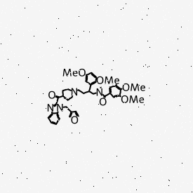 COc1cccc(C(CCN2CCC(C(=O)c3nc4ccccc4n3Cc3ccoc3)CC2)CN(C)C(=O)c2cc(OC)c(OC)c(OC)c2)c1